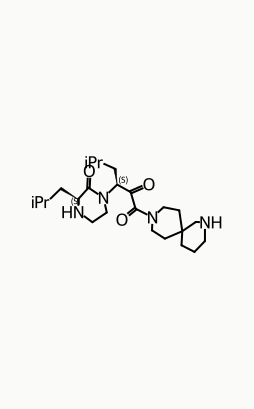 CC(C)C[C@@H]1NCCN([C@@H](CC(C)C)C(=O)C(=O)N2CCC3(CCCNC3)CC2)C1=O